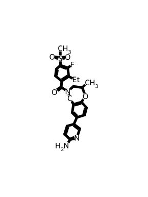 CCc1c(C(=O)N2Cc3cc(-c4ccc(N)nc4)ccc3OC(C)C2)ccc(S(C)(=O)=O)c1F